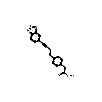 COC(=O)Cc1ccc(CCC#Cc2ccc3nonc3c2)cc1